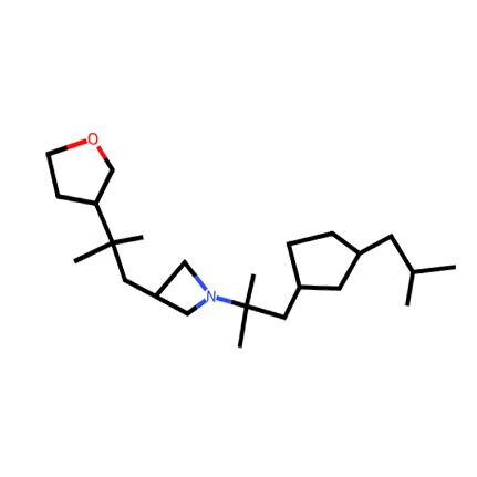 CC(C)CC1CCC(CC(C)(C)N2CC(CC(C)(C)C3CCOC3)C2)C1